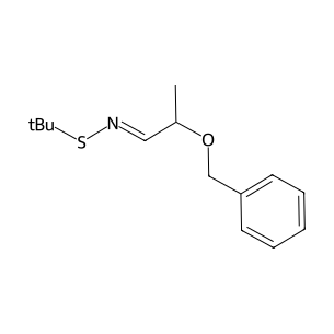 CC(/C=N/SC(C)(C)C)OCc1ccccc1